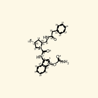 NC(=O)On1cc(NC(=O)N2C[C@H](F)C[C@H]2CNC(=O)Cc2ccccc2)c2ccccc21